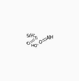 [OH-].[O]=[AlH].[O]=[Ti].[SrH+]